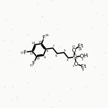 CCO[Si](O)(CCCCc1cc(F)c(F)cc1F)OCC